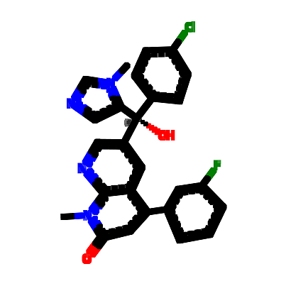 Cn1cncc1[C@@](O)(c1ccc(Cl)cc1)c1cnc2c(c1)c(-c1cccc(F)c1)cc(=O)n2C